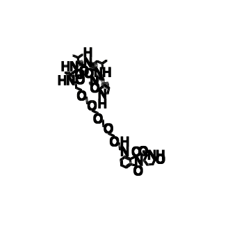 C#[N+][C@H](C[C@@H]1CCNC1=O)NC(=O)[C@H](CC(C)C)NC(=O)[C@@H](NC(=O)[C@H](C)NC(=O)CCOCCOCCOCCOCCOCCNc1cccc2c1C(=O)N(C1CCC(=O)NC1=O)C2=O)C(C)C